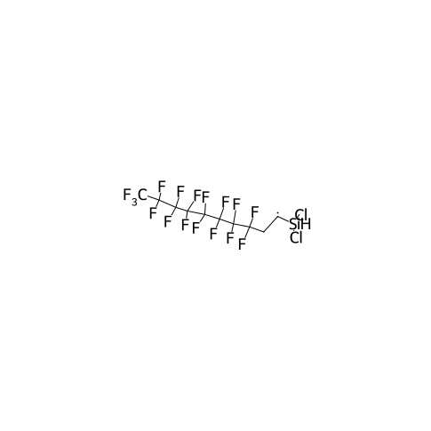 FC(F)(F)C(F)(F)C(F)(F)C(F)(F)C(F)(F)C(F)(F)C(F)(F)C(F)(F)C[CH][SiH](Cl)Cl